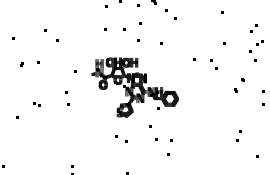 CNC(=O)C1OC(n2cnc3c(NCc4ccccc4)nc(-c4ccsc4)nc32)C(O)C1O